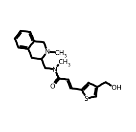 CN(CC1Cc2ccccc2CN1C)C(=O)/C=C/c1cc(CO)cs1